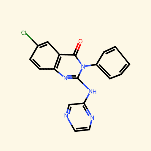 O=c1c2cc(Cl)ccc2nc(Nc2cnccn2)n1-c1ccccc1